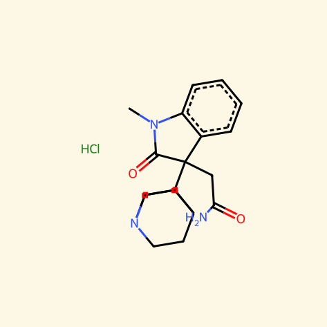 CN1C(=O)C(CC(N)=O)(C2CN3CCC2CC3)c2ccccc21.Cl